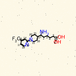 NC(CCCCB(O)O)C1CCN(c2cc(C(F)(F)F)ccn2)CC1